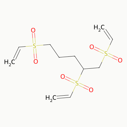 C=CS(=O)(=O)CCCC(CS(=O)(=O)C=C)S(=O)(=O)C=C